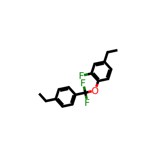 CCc1ccc(C(F)(F)Oc2ccc(CC)cc2F)cc1